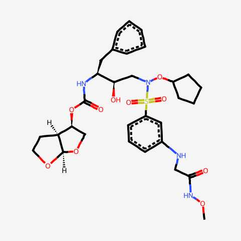 CONC(=O)CNc1cccc(S(=O)(=O)N(C[C@@H](O)[C@H](Cc2ccccc2)NC(=O)O[C@H]2CO[C@H]3OCC[C@H]32)OC2CCCC2)c1